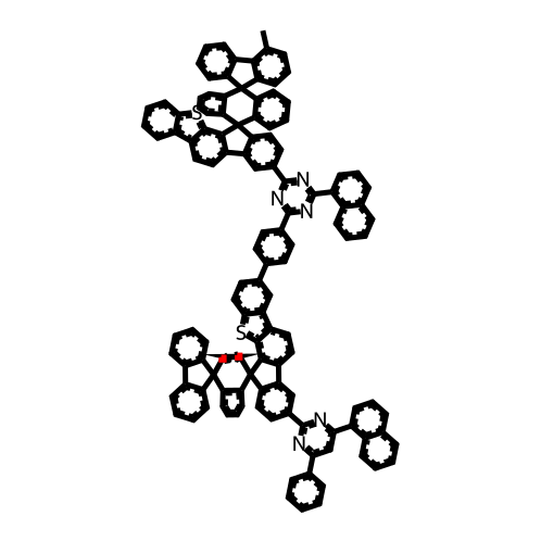 Cc1cccc2c1-c1ccccc1C21c2ccccc2C2(c3ccc(-c4nc(-c5ccc(-c6ccc7sc8c9c(ccc8c7c6)-c6cc(-c7nc(-c8ccccc8)cc(-c8cccc%10ccccc8%10)n7)ccc6C96c7ccccc7C7(c8ccccc8-c8ccccc87)c7ccccc76)cc5)nc(-c5cccc6ccccc56)n4)cc3-c3ccc4c(sc5ccccc54)c32)c2ccccc21